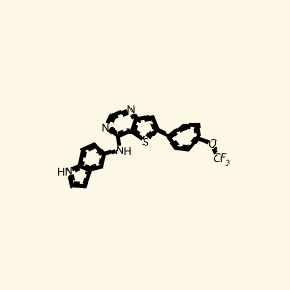 FC(F)(F)Oc1ccc(-c2cc3ncnc(Nc4ccc5[nH]ccc5c4)c3s2)cc1